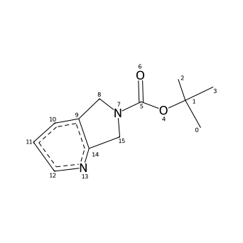 CC(C)(C)OC(=O)N1Cc2cccnc2C1